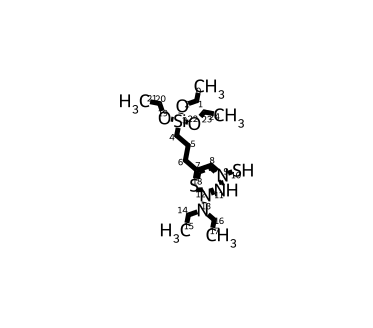 CCO[Si](CCCc1cn(S)[nH]n(N(CC)CC)s1)(OCC)OCC